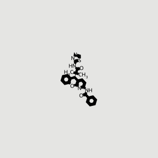 CC(C)(C(=O)Nc1nncs1)[C@H]1c2ccccc2Oc2nc(NC(=O)c3ccccc3)ccc21